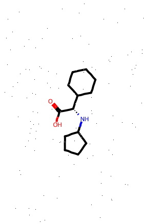 O=C(O)[C@@H](NC1CCCC1)C1CCCCC1